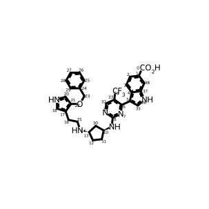 O=C(O)c1ccc2c(-c3nc(N[C@H]4CC[C@H](NCCc5c[nH]cc5OCc5ccccc5)C4)ncc3C(F)(F)F)c[nH]c2c1